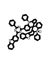 O=P1(c2ccccc2)c2ccccc2C2(c3ccccc3N(c3ccccc3)c3cc(-c4nc(-c5ccccc5)nc(-c5ccc6c(c5)sc5ccccc56)n4)ccc32)c2cc3c(cc21)oc1ccccc13